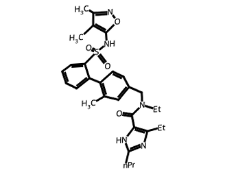 CCCc1nc(CC)c(C(=O)N(CC)Cc2ccc(-c3ccccc3S(=O)(=O)Nc3onc(C)c3C)c(C)c2)[nH]1